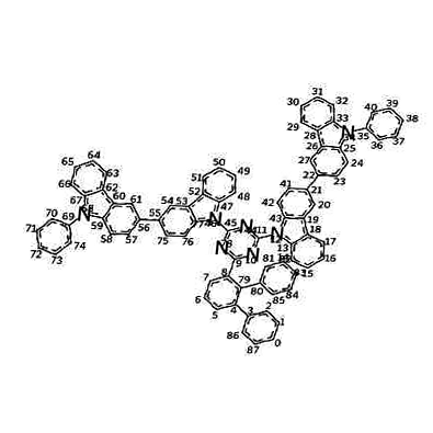 c1ccc(-c2cccc(-c3nc(-n4c5ccccc5c5cc(-c6ccc7c(c6)c6ccccc6n7-c6ccccc6)ccc54)nc(-n4c5ccccc5c5cc(-c6ccc7c(c6)c6ccccc6n7-c6ccccc6)ccc54)n3)c2-c2ccccc2)cc1